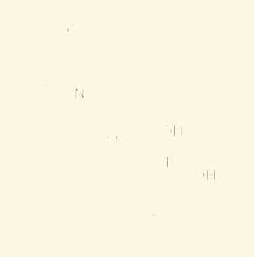 OB(O)c1ccccc1OSN1CCOCC1